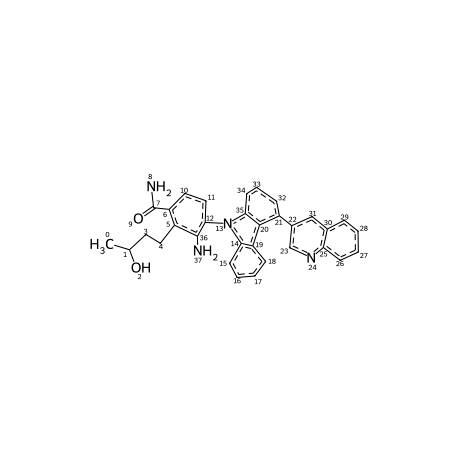 CC(O)CCc1c(C(N)=O)ccc(-n2c3ccccc3c3c(-c4cnc5ccccc5c4)cccc32)c1N